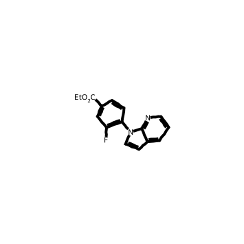 CCOC(=O)c1ccc(-n2ccc3cccnc32)c(F)c1